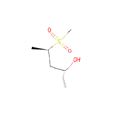 C[C@H](C[C@@H](C)O)S(C)(=O)=O